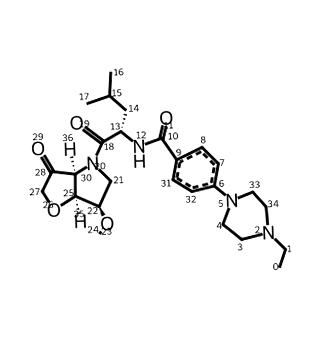 CCN1CCN(c2ccc(C(=O)N[C@@H](CC(C)C)C(=O)N3C[C@@H](OC)[C@H]4OCC(=O)[C@H]43)cc2)CC1